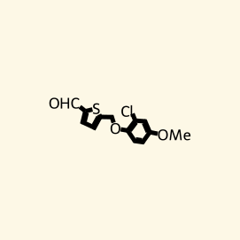 COc1ccc(OCc2ccc(C=O)s2)c(Cl)c1